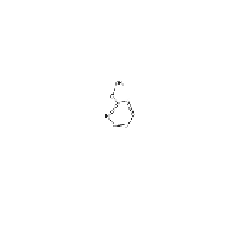 COc1[c]cc[c]n1